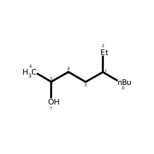 CCCCC(CC)C[CH]C(C)O